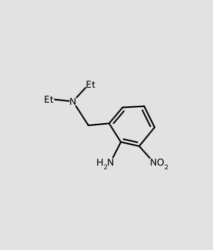 CCN(CC)Cc1cccc([N+](=O)[O-])c1N